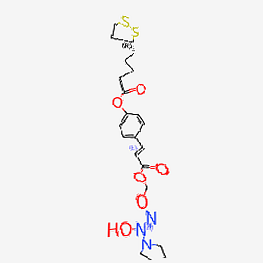 O=C(/C=C/c1ccc(OC(=O)CCCC[C@@H]2CCSS2)cc1)OCO/N=[N+](\O)N1CCCC1